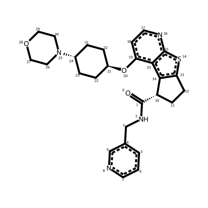 O=C(NCc1cccnc1)[C@H]1CCc2sc3nccc(O[C@H]4CC[C@H](N5CCOCC5)CC4)c3c21